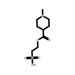 CN1CCC(C(=O)OCCS(=O)(=O)O)CC1